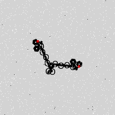 COC(=O)c1cc(OCCOCCOCCO[Si](c2ccccc2)(c2ccccc2)C(C)(C)C)cc(OCCOCCOCCO[Si](c2ccccc2)(c2ccccc2)C(C)(C)C)c1